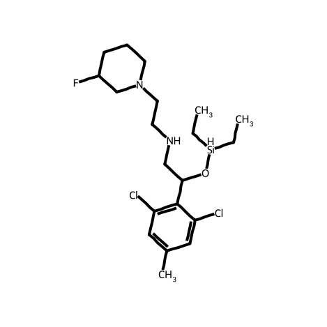 CC[SiH](CC)OC(CNCCN1CCCC(F)C1)c1c(Cl)cc(C)cc1Cl